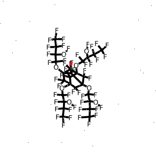 FOC(F)(C(F)(F)OC12C(F)(F)C3(OC(F)(F)C(F)(OF)C(F)(F)C(F)(F)F)C(F)(F)C(OC(F)(F)C(F)(OF)C(F)(F)C(F)(F)F)(C1(F)F)C(F)(F)C(OC(F)(F)C(F)(OF)C(F)(F)C(F)(F)F)(C2(F)F)C3(F)F)C(F)(F)C(F)(F)F